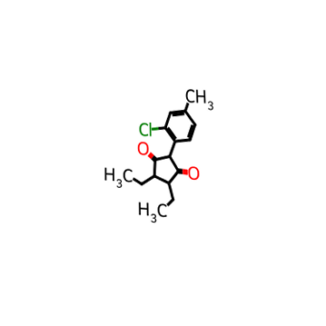 CCC1C(=O)C(c2ccc(C)cc2Cl)C(=O)C1CC